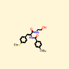 CCSc1ccc(C=C(NC(=O)c2ccc(OCC(C)C)cc2)C(=O)NCCO)cc1